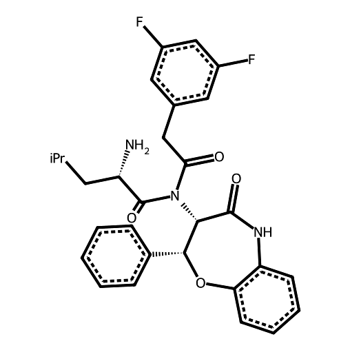 CC(C)C[C@H](N)C(=O)N(C(=O)Cc1cc(F)cc(F)c1)[C@@H]1C(=O)Nc2ccccc2O[C@@H]1c1ccccc1